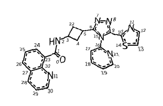 O=C(NC1CC(c2nnc(-c3nccs3)n2-c2ccccn2)C1)c1cccc2cccnc12